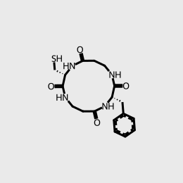 O=C1CCNC(=O)[C@H](Cc2ccccc2)NC(=O)CCNC(=O)[C@H](CS)N1